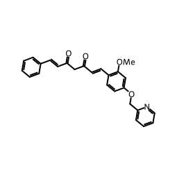 COc1cc(OCc2ccccn2)ccc1C=CC(=O)CC(=O)C=Cc1ccccc1